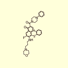 O=C(c1cn2c3c(c(NCCCN4CCOCC4)c(F)cc3c1=O)Sc1ccccc1-2)N1CCN(c2ccccc2)CC1